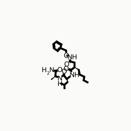 CCCCC[C@H](CC(=O)NOCc1ccccc1)C(=O)N[C@@H](CC(C)C)C(=O)N[C@@H](C)C(N)=O